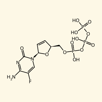 Nc1nc(=O)n([C@H]2C=C[C@@H](COP(=O)(O)OP(=O)(O)OP(=O)(O)O)O2)cc1F